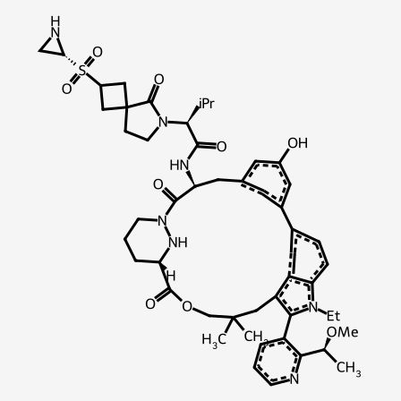 CCn1c(-c2cccnc2[C@H](C)OC)c2c3cc(ccc31)-c1cc(O)cc(c1)C[C@H](NC(=O)[C@H](C(C)C)N1CCC3(CC(S(=O)(=O)[C@@H]4CN4)C3)C1=O)C(=O)N1CCC[C@H](N1)C(=O)OCC(C)(C)C2